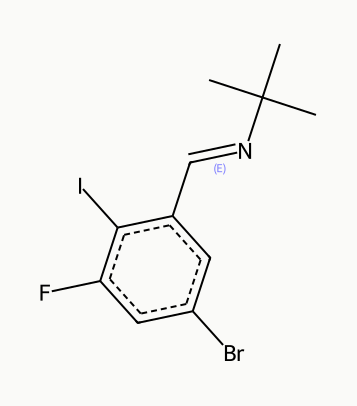 CC(C)(C)/N=C/c1cc(Br)cc(F)c1I